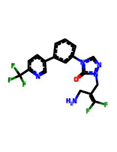 NCC(Cn1ncn(-c2cccc(-c3ccc(C(F)(F)F)nc3)c2)c1=O)=C(F)F